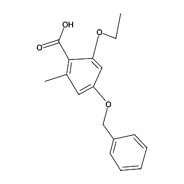 CCOc1cc(OCc2ccccc2)cc(C)c1C(=O)O